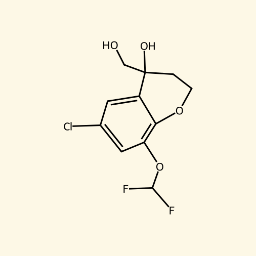 OCC1(O)CCOc2c(OC(F)F)cc(Cl)cc21